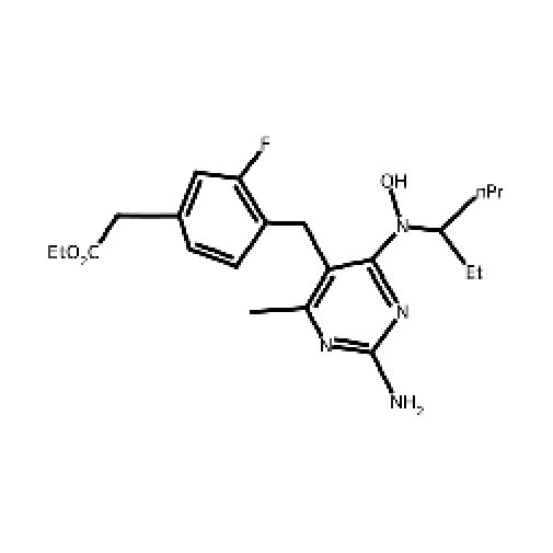 CCCC(CC)N(O)c1nc(N)nc(C)c1Cc1ccc(CC(=O)OCC)cc1F